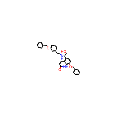 O=c1ccc2c(C(CO)NCCc3cccc(OCc4ccccc4)c3)ccc(OCc3ccccc3)c2[nH]1